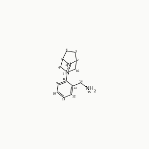 CN1C2CCC1CN(c1ccccc1CN)C2